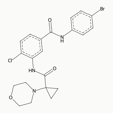 O=C(Nc1ccc(Br)cc1)c1ccc(Cl)c(NC(=O)C2(N3CCOCC3)CC2)c1